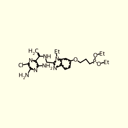 C=C(NCc1nc2ccc(OCCCP(OCC)OCC)cc2n1CC)c1nc(Cl)c(N)nc1N